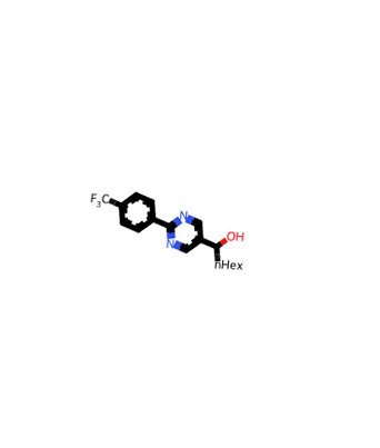 CCCCCCC(O)c1cnc(-c2ccc(C(F)(F)F)cc2)nc1